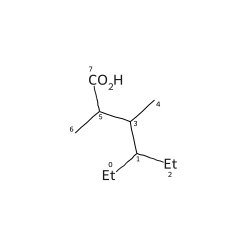 CCC(CC)C(C)C(C)C(=O)O